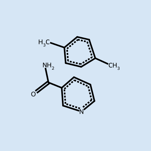 Cc1ccc(C)cc1.NC(=O)c1cccnc1